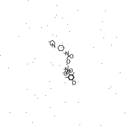 COc1cc(C)c(S(=O)(=O)N(C)CCOCC(=O)N(C)C[C@H]2CCC[C@@H](CN3CCCC3)C2)c(C)c1